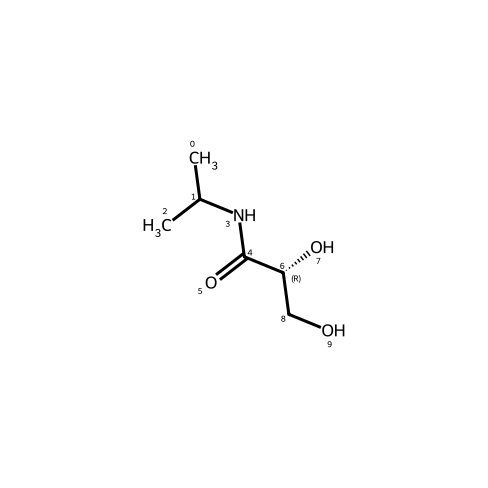 CC(C)NC(=O)[C@H](O)CO